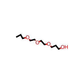 CCCOCCOCCOCCCO